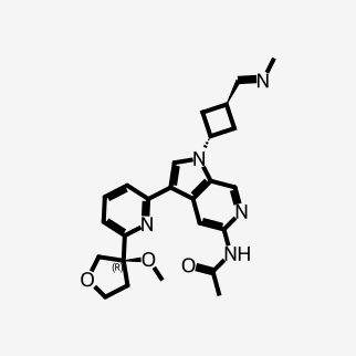 CN=C[C@H]1C[C@H](n2cc(-c3cccc([C@]4(OC)CCOC4)n3)c3cc(NC(C)=O)ncc32)C1